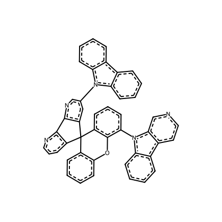 c1ccc2c(c1)Oc1c(-n3c4ccccc4c4ccncc43)cccc1C21c2cccnc2-c2ncc(-n3c4ccccc4c4ccccc43)cc21